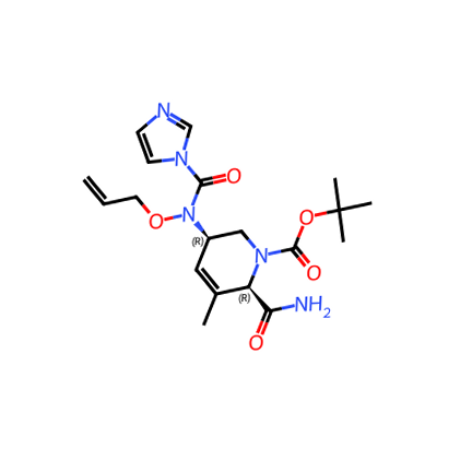 C=CCON(C(=O)n1ccnc1)[C@@H]1C=C(C)[C@H](C(N)=O)N(C(=O)OC(C)(C)C)C1